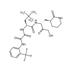 CC(C)(C)C[C@H](NC(=O)C(=O)Nc1ccccc1C(F)(F)F)C(=O)N[C@H](C[C@@H]1CCCNC1=O)C(=O)CO